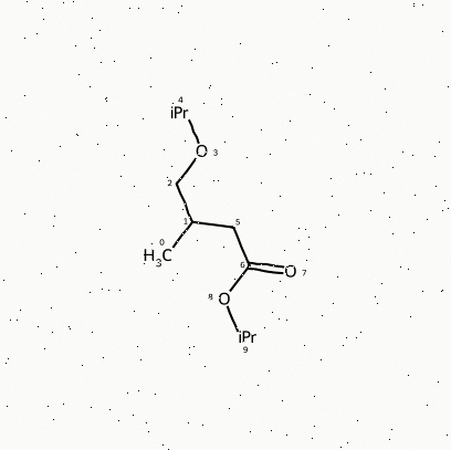 CC(COC(C)C)CC(=O)OC(C)C